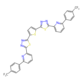 FC(F)(F)c1ccc(-c2cccc(-c3nnc(-c4ccc(-c5nnc(-c6cccc(-c7ccc(C(F)(F)F)cc7)n6)s5)s4)s3)n2)cc1